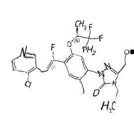 CCn1c(CO)nn(-c2cc(O[C@@H](C)C(F)(F)P)c(/C(F)=C/c3cnccc3Cl)cc2I)c1=O